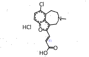 CN1CCc2c(Cl)ccc3oc(/C=C/C(=O)O)c(c23)C1.Cl